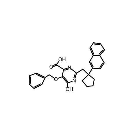 O=C(O)c1nc(CC2(c3ccc4ccccc4c3)CCCC2)nc(O)c1OCc1ccccc1